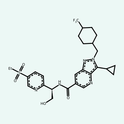 CCS(=O)(=O)c1ccc([C@H](CO)NC(=O)c2cnc3c(C4CC4)n(CC4CCC(C(F)(F)F)CC4)nc3c2)nc1